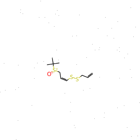 C=CCSS/C=C\C[S+]([O-])C(C)(C)C